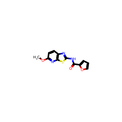 COc1ccc2nc(NC(=O)c3ccco3)sc2n1